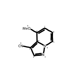 [C-]#[N+]c1cnn2cccc(OC)c12